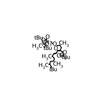 CCC(C)CC(C)CC(C)CC(C)/C=C(C)/C=C(/CC(C)C(=O)OCC[C@H](O[Si](C)(C)C(C)(C)C)C(=O)OC(C)(C)C)C(=O)OC(C)(C)C